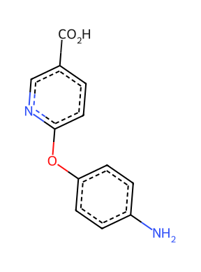 Nc1ccc(Oc2ccc(C(=O)O)cn2)cc1